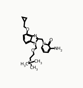 C[Si](C)(C)CCOCn1c(Cn2cccc(N)c2=O)nc2c(OCC3CC3)cccc21